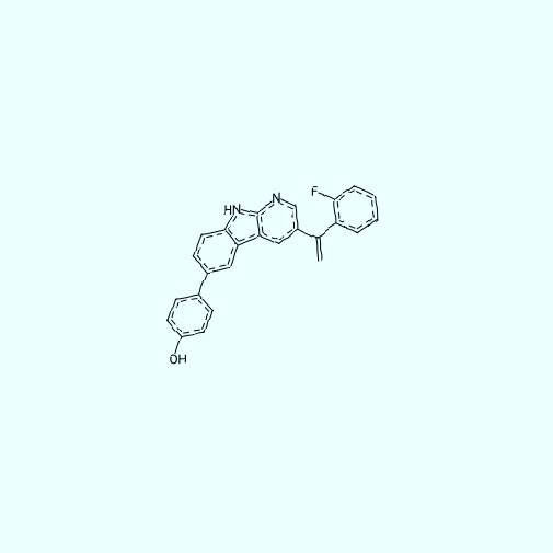 C=C(c1cnc2[nH]c3ccc(-c4ccc(O)cc4)cc3c2c1)c1ccccc1F